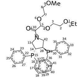 CCOCCOC(OCCOC)C(=O)N1C[C@@H](P(c2ccccc2)c2ccccc2)[C@H](P(c2ccccc2)c2ccccc2)C1